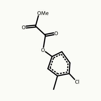 COC(=O)C(=O)Oc1ccc(Cl)c(C)c1